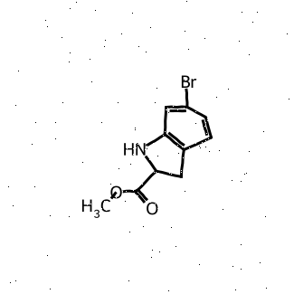 COC(=O)C1Cc2ccc(Br)cc2N1